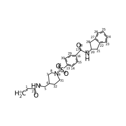 C=CC(=O)NCC1CCN(S(=O)(=O)c2ccc(C(=O)NC3Cc4ccccc4C3)cc2)CC1